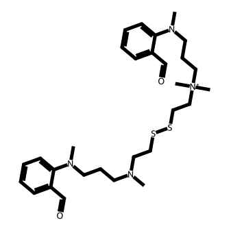 CN(CCCN(C)c1ccccc1C=O)CCSSCC[N+](C)(C)CCCN(C)c1ccccc1C=O